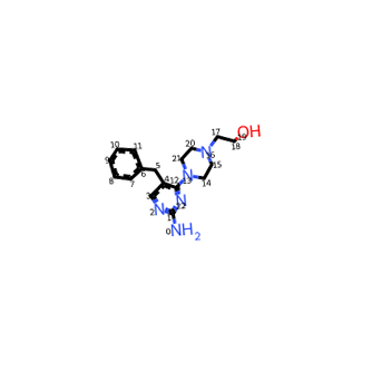 Nc1ncc(Cc2ccccc2)c(N2CCN(CCO)CC2)n1